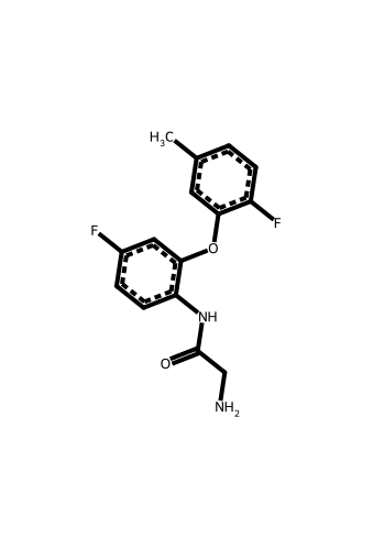 Cc1ccc(F)c(Oc2cc(F)ccc2NC(=O)CN)c1